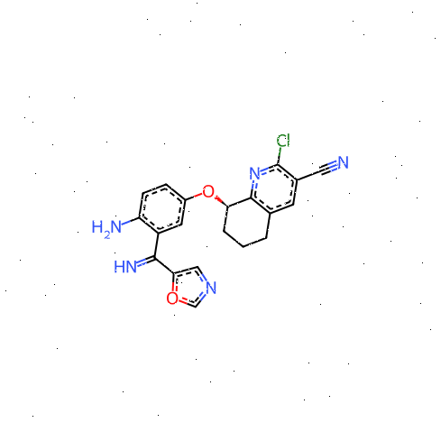 N#Cc1cc2c(nc1Cl)[C@H](Oc1ccc(N)c(C(=N)c3cnco3)c1)CCC2